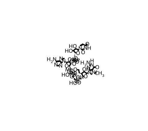 COCC[C@@H]1[C@@H](COP(=O)(O)CP(=O)(O)OP(=O)(O)OC[C@H]2O[C@@H](n3cnc4c(N)ncnc43)[C@H](OC)[C@@H]2OP(=O)([O-])OC[C@H]2O[C@@H](n3ccc(=O)[nH]c3=O)[C@H](O)[C@@H]2O)OC(n2c[n+](C)c3c(=O)[nH]c(N)nc32)[C@@H]1O